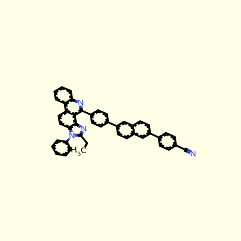 CCc1nc2c3c(-c4ccc(-c5ccc6cc(-c7ccc(C#N)cc7)ccc6c5)cc4)nc4ccccc4c3ccc2n1-c1ccccc1